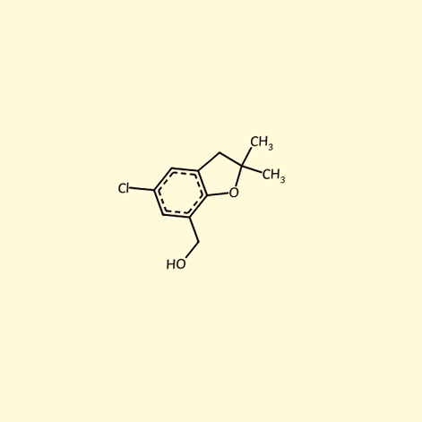 CC1(C)Cc2cc(Cl)cc(CO)c2O1